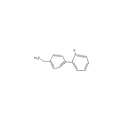 CCc1ccc(-c2c[c]ccc2F)cc1